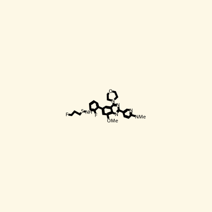 CNc1ccc(-c2nc(N3CCOCC3)c3cc(-c4cccc(NSCCCF)c4F)cc(OC)c3n2)cn1